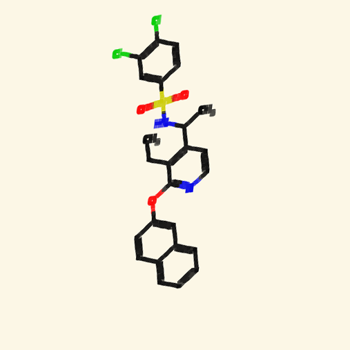 CCc1c(C(C)NS(=O)(=O)c2ccc(Cl)c(Cl)c2)ccnc1Oc1ccc2ccccc2c1